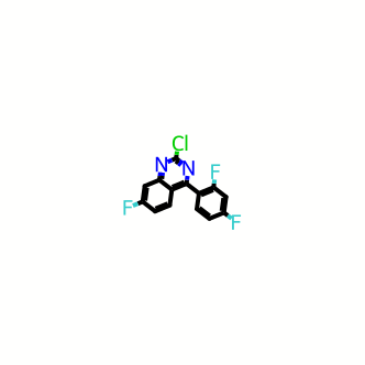 Fc1ccc(-c2nc(Cl)nc3cc(F)ccc23)c(F)c1